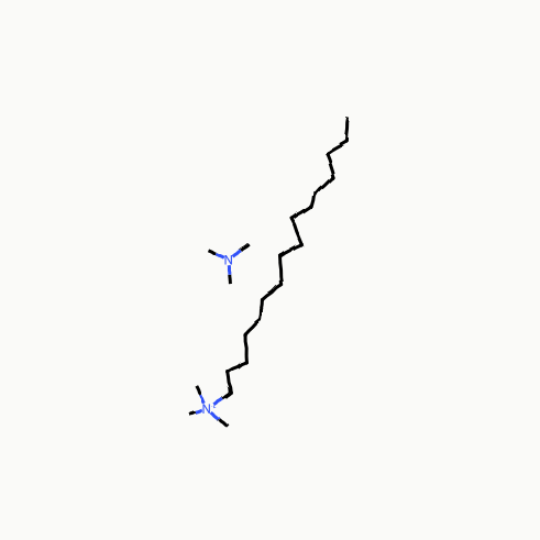 CCCCCCCCCCCCCCCC[N+](C)(C)C.CN(C)C